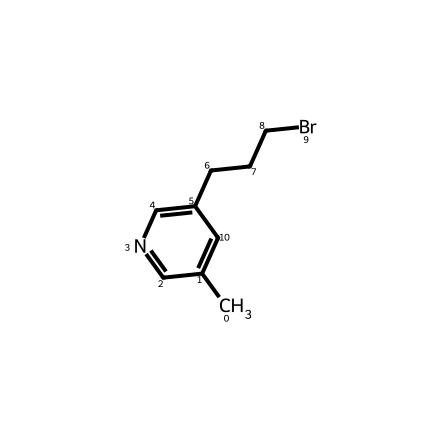 Cc1cncc(CCCBr)c1